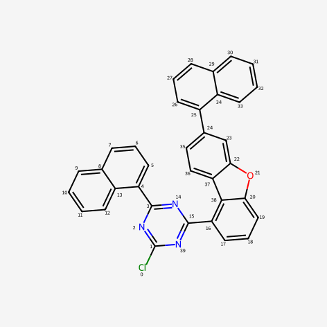 Clc1nc(-c2cccc3ccccc23)nc(-c2cccc3oc4cc(-c5cccc6ccccc56)ccc4c23)n1